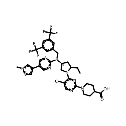 CCC1C[C@H](N(Cc2cc(C(F)(F)F)cc(C(F)(F)F)c2)c2ncc(-c3cnn(C)c3)cn2)CN1c1nc(N2CCC(C(=O)O)CC2)ncc1Cl